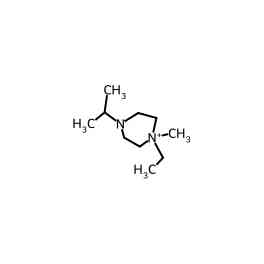 CC[N+]1(C)CCN(C(C)C)CC1